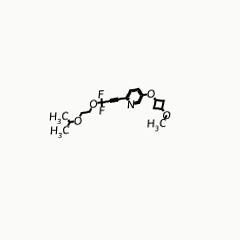 COC1CC(Oc2ccc(C#CC(F)(F)OCCOC(C)C)nc2)C1